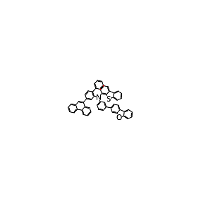 c1ccc(-c2ccc(-c3cc4ccccc4c4ccccc34)cc2N(c2cccc(-c3ccc4c(c3)oc3ccccc34)c2)c2cccc3c2sc2ccccc23)cc1